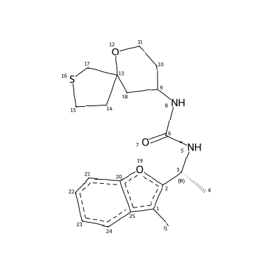 Cc1c([C@@H](C)NC(=O)NC2CCOC3(CCSC3)C2)oc2ccccc12